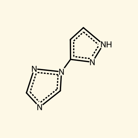 c1ncn(-c2cc[nH]n2)n1